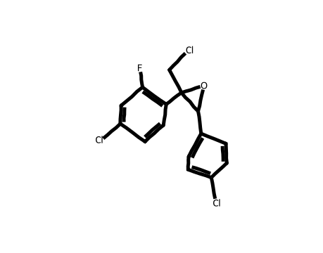 Fc1cc(Cl)ccc1C1(CCl)OC1c1ccc(Cl)cc1